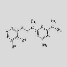 CN(C)c1nc(N)nc(N(C)CCc2cccc(O)c2O)n1